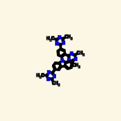 Cc1nc(C)nc(-c2ccc(-n3c4ccccc4c4cc(-c5nc(C)nc(C)n5)ccc43)c(-c3nc(C)nc(C)n3)c2)n1